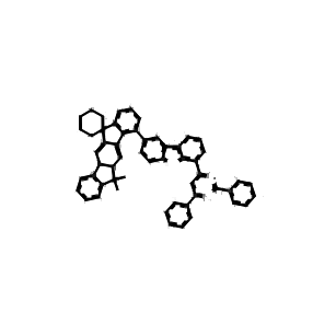 CC1(C)c2ccccc2C2C=C3C(=CC21)c1c(-c2ccc4oc5c(-c6cc(-c7ccccc7)nc(-c7ccccc7)n6)cccc5c4c2)cccc1C31CCCCC1